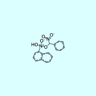 O=[N+]([O-])C(O[N+]([O-])(O)c1cccc2ccccc12)c1ccccc1